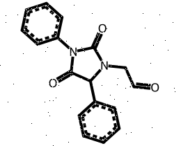 O=[C]CN1C(=O)N(c2ccccc2)C(=O)C1c1ccccc1